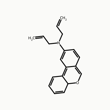 C=CCN(CC=C)c1ccc2c(c1)=C1C=CC=CC1OC=2